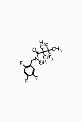 CC(F)(F)C(C)(C)C(=O)N(O)Cc1cc(F)c(F)cc1F